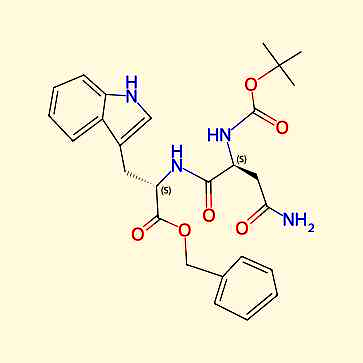 CC(C)(C)OC(=O)N[C@@H](CC(N)=O)C(=O)N[C@@H](Cc1c[nH]c2ccccc12)C(=O)OCc1ccccc1